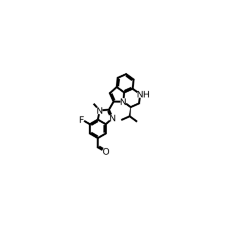 CC(C)[C@@H]1CNc2cccc3cc(-c4nc5cc(C=O)cc(F)c5n4C)n1c23